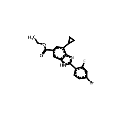 CCOC(=O)c1cc(C2CC2)c2nc(-c3ccc(Br)cc3F)[nH]c2c1